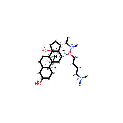 CC([C@H]1CC[C@@]2(O)[C@@H]3CCC4CC(O)CC[C@]4(C)[C@H]3CC[C@]12C)N(C)OCCCCN(C)C